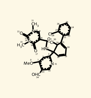 COc1cc(C2(NC(=O)c3cn(C)c(=O)n(C)c3=O)C=CC=C(c3ccccc3Cl)C2Cl)ncc1C=O